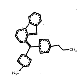 CCCc1ccc(C(c2ccc(C)cc2)=c2cccc3c2=[C]c2ccccc2-3)cc1